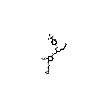 Cc1cc(SCC(C/C=C/C#N)COc2ccc(C(F)(F)F)cc2)ccc1OCCOO